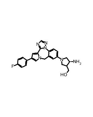 N[C@@H]1CN(c2ccc3c(c2)Cn2cc(-c4ccc(F)cc4)cc2-c2ncnn2-3)CC1CO